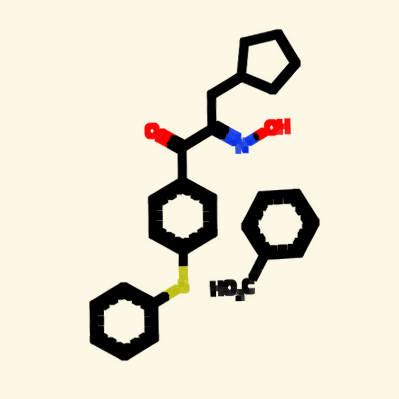 O=C(C(CC1CCCC1)=NO)c1ccc(Sc2ccccc2)cc1.O=C(O)c1ccccc1